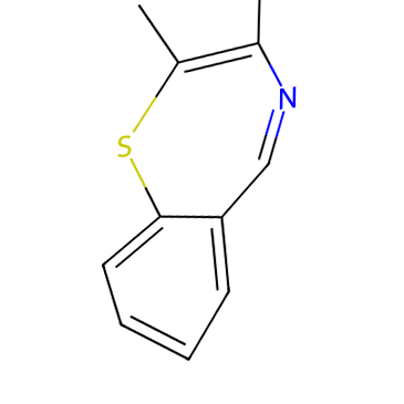 CC1=C(C)Sc2ccccc2C=N1